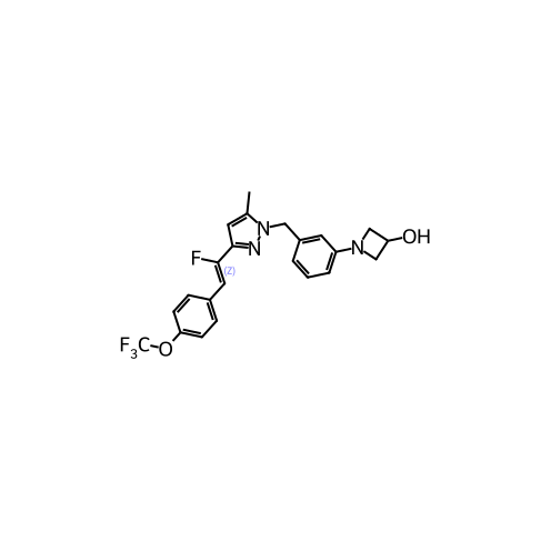 Cc1cc(/C(F)=C/c2ccc(OC(F)(F)F)cc2)nn1Cc1cccc(N2CC(O)C2)c1